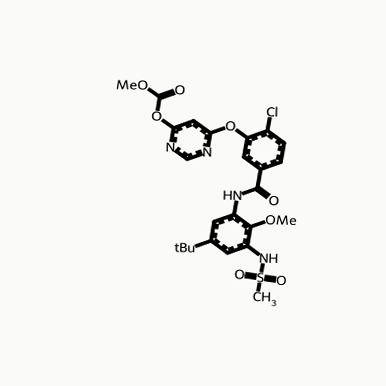 COC(=O)Oc1cc(Oc2cc(C(=O)Nc3cc(C(C)(C)C)cc(NS(C)(=O)=O)c3OC)ccc2Cl)ncn1